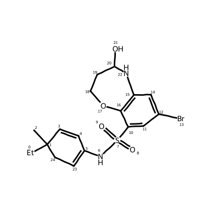 CCC1(C)C=CC(NS(=O)(=O)c2cc(Br)cc3c2OCCC(O)N3)=CC1